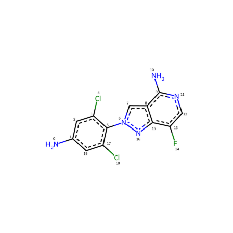 Nc1cc(Cl)c(-n2cc3c(N)ncc(F)c3n2)c(Cl)c1